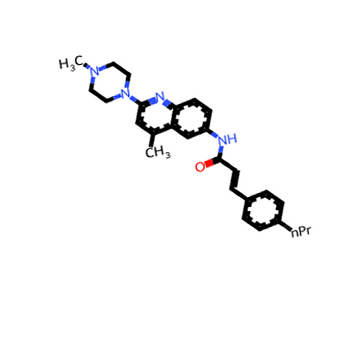 CCCc1ccc(C=CC(=O)Nc2ccc3nc(N4CCN(C)CC4)cc(C)c3c2)cc1